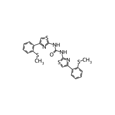 CSc1ccccc1-c1csc(NC(=O)Nc2nc(-c3ccccc3SC)cs2)n1